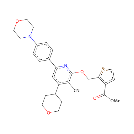 COC(=O)c1ccsc1COc1nc(-c2ccc(N3CCOCC3)cc2)cc(C2CCOCC2)c1C#N